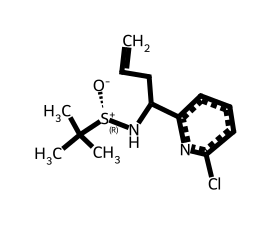 C=CCC(N[S@@+]([O-])C(C)(C)C)c1cccc(Cl)n1